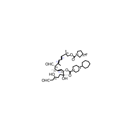 C/C(=C\C=C\[C@@H](C)COC(=O)N1CC[C@@H](F)C1)[C@@H](C=O)[C@@H](C)/C=C/[C@H](OC(=O)N1CCN(C2CCCCCC2)CC1)[C@@](C)(O)CC[C@H](O)CC=O